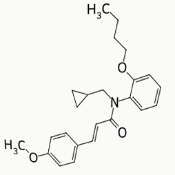 CCCCOc1ccccc1N(CC1CC1)C(=O)/C=C/c1ccc(OC)cc1